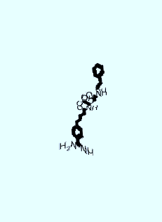 N=C(N)c1ccc(CCCCC(=O)N[C@@H](CC(=O)NCCc2ccccc2)C(=O)O)cc1